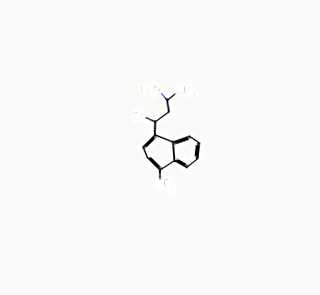 CCC(CC(C)N)c1ccc(C(F)(F)F)c2ccccc12